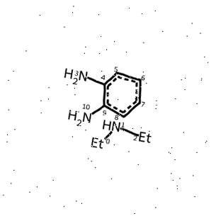 CCNCC.Nc1ccccc1N